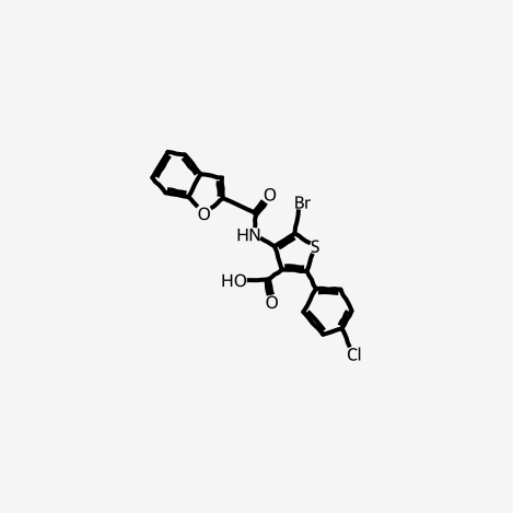 O=C(Nc1c(Br)sc(-c2ccc(Cl)cc2)c1C(=O)O)c1cc2ccccc2o1